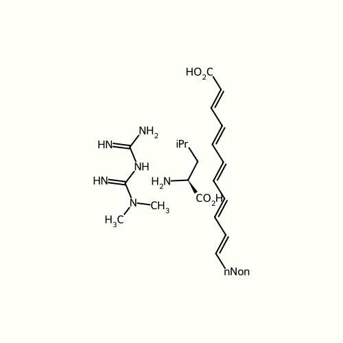 CC(C)C[C@H](N)C(=O)O.CCCCCCCCC/C=C/C=C/C=C/C=C/C=C/C(=O)O.CN(C)C(=N)NC(=N)N